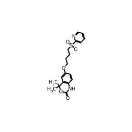 CC1(C)OC(=O)Nc2ccc(OCCCCS(=O)(=O)c3ccccn3)cc21